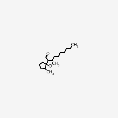 CCCCCCCCC(C=O)C1(OC)CCCC1C